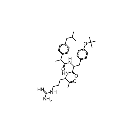 CC(=O)C(CCCNC(=N)N)NC(=O)C(Cc1ccc(OC(C)(C)C)cc1)NC(=O)C(C)c1ccc(CC(C)C)cc1